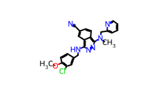 COc1ccc(CNc2nnc(N(C)Cc3ccccn3)c3ccc(C#N)cc23)cc1Cl